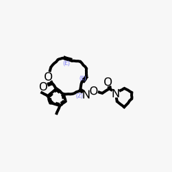 Cc1cc(C)c2c(c1)CC(=N/OCC(=O)N1CCCCC1)/C=C/CC/C=C/CCOC2=O